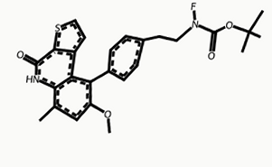 COc1cc(C)c2[nH]c(=O)c3sccc3c2c1-c1ccc(CCN(F)C(=O)OC(C)(C)C)cc1